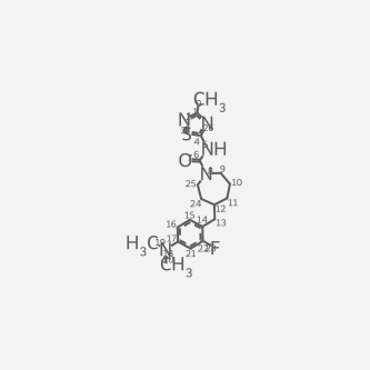 Cc1nsc(NC(=O)N2CCCC(Cc3ccc(N(C)C)cc3F)CC2)n1